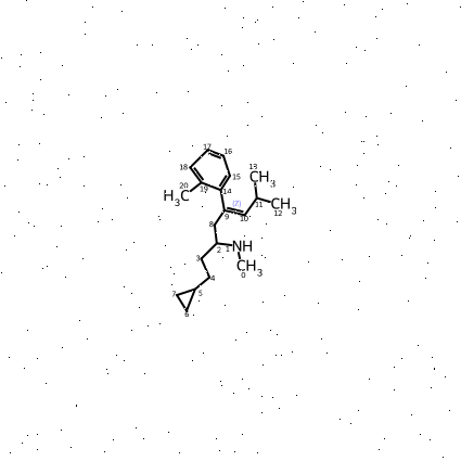 CNC(CCC1CC1)C/C(=C/C(C)C)c1ccccc1C